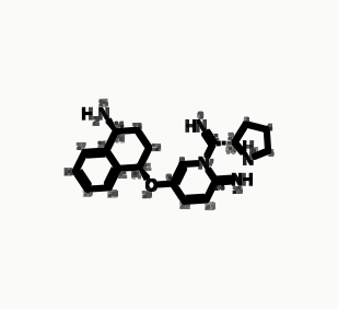 N=C([C@@H]1CCCN1)n1cc(O[C@@H]2CC[C@H](N)c3ccccc32)ccc1=N